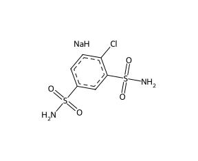 NS(=O)(=O)c1ccc(Cl)c(S(N)(=O)=O)c1.[NaH]